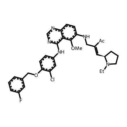 CCN1CCC[C@@H]1/C=C(/CNc1ccc2ncnc(Nc3ccc(OCc4cccc(F)c4)c(Cl)c3)c2c1OC)C(C)=O